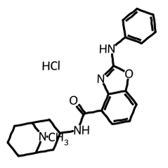 CN1C2CCCC1CC(NC(=O)c1cccc3oc(Nc4ccccc4)nc13)C2.Cl